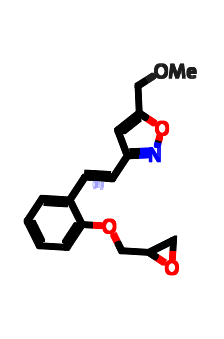 COCc1cc(/C=C/c2ccccc2OCC2CO2)no1